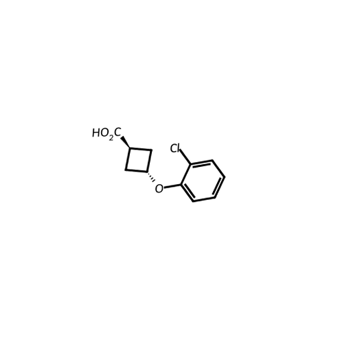 O=C(O)[C@H]1C[C@H](Oc2ccccc2Cl)C1